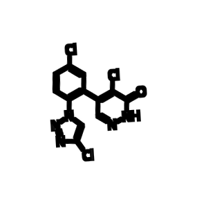 O=c1[nH]ncc(-c2cc(Cl)ccc2-n2cc(Cl)nn2)c1Cl